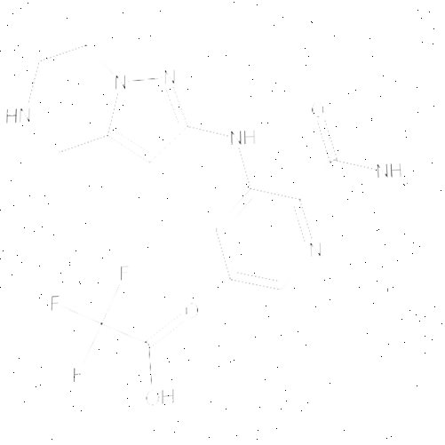 NC(=O)c1ncccc1Nc1cc2n(n1)CCNC2.O=C(O)C(F)(F)F